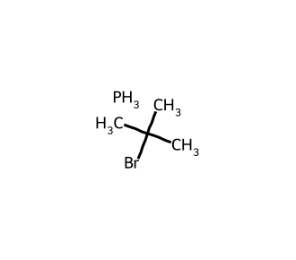 CC(C)(C)Br.P